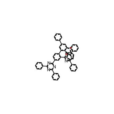 c1ccc(-c2cc(-c3ccc(-c4nc(-c5ccccc5)nc(-c5ccccc5)n4)cc3-c3nc(-c4ccccc4)nc(-c4ccccc4)n3)c3c(c2)sc2ccccc23)cc1